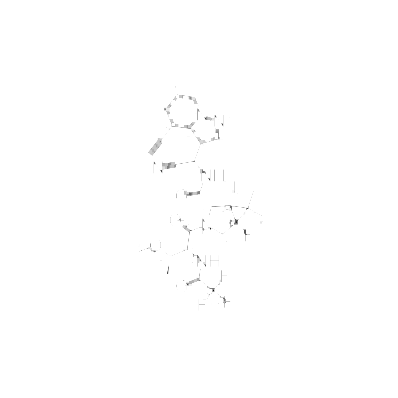 C#Cc1cccn2ncc(C(C#N)NC(=O)[C@@H]3[C@@H]4[C@H](CN3C(=O)[C@@H](NC(=O)C(F)(F)F)[C@@H](C)OC)C4(C)C)c12